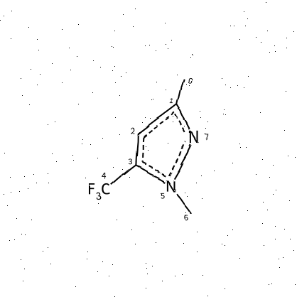 Cc1cc(C(F)(F)F)n(C)n1